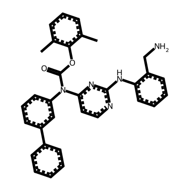 Cc1cccc(C)c1OC(=O)N(c1cccc(-c2ccccc2)c1)c1ccnc(Nc2ccccc2CN)n1